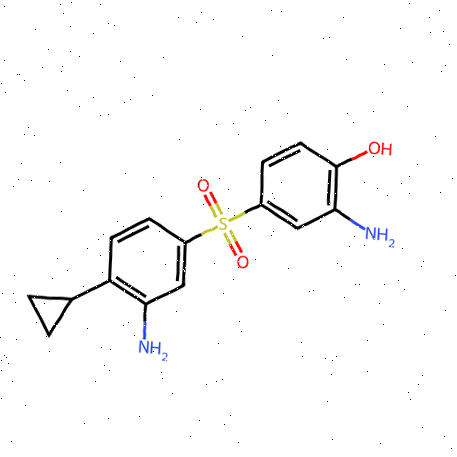 Nc1cc(S(=O)(=O)c2ccc(C3CC3)c(N)c2)ccc1O